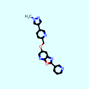 Cn1cc(-c2ccc(COc3cnc4oc(-c5cccnc5)nc4c3)nc2)cn1